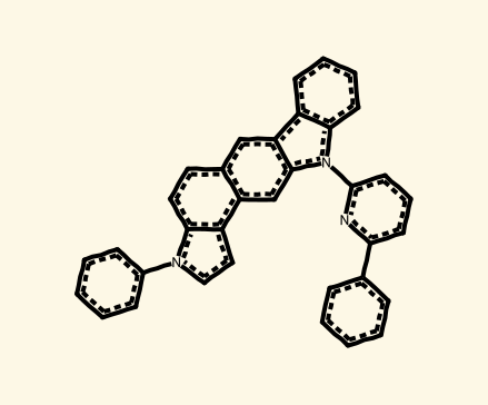 c1ccc(-c2cccc(-n3c4ccccc4c4cc5ccc6c(ccn6-c6ccccc6)c5cc43)n2)cc1